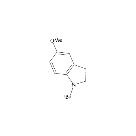 CCC(C)N1CCc2cc(OC)ccc21